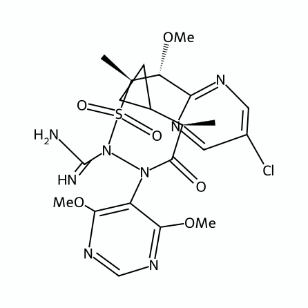 COc1ncnc(OC)c1N(C(=O)[C@H](C)C1CC1)N(C(=N)N)S(=O)(=O)[C@@H](C)[C@H](OC)c1ncc(Cl)cn1